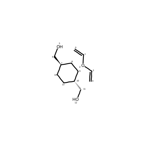 C=COC=C.OC[C@H]1CC[C@H](CO)CC1